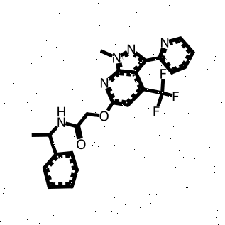 CC(NC(=O)COc1cc(C(F)(F)F)c2c(-c3ccccn3)nn(C)c2n1)c1ccccc1